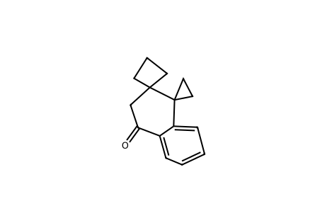 O=C1CC2(CCC2)C2(CC2)c2ccccc21